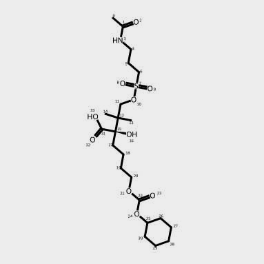 CC(=O)NCCCS(=O)(=O)OCC(C)(C)[C@](O)(CCCCOC(=O)OC1CCCCC1)C(=O)O